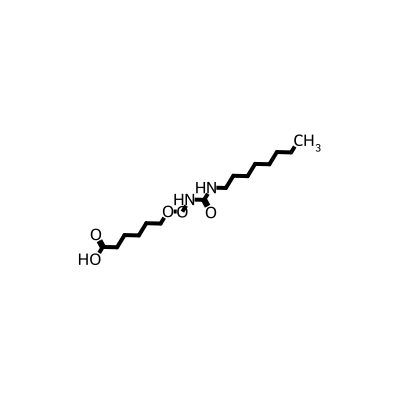 CCCCCCCCNC(=O)NOOCCCCCC(=O)O